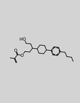 C=C(C)C(=O)OCCC(CCO)C1CCC(c2ccc(CCCC)cc2)CC1